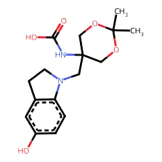 CC1(C)OCC(CN2CCc3cc(O)ccc32)(NC(=O)O)CO1